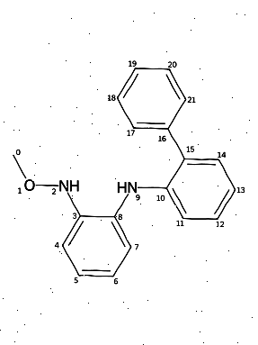 CONc1ccccc1Nc1ccccc1-c1ccccc1